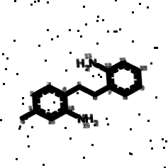 Cc1ccc(CCc2ccccc2N)c(N)c1